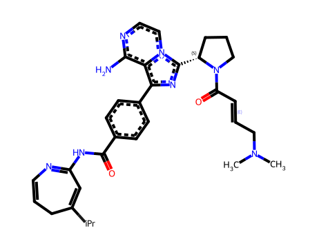 CC(C)C1=CC(NC(=O)c2ccc(-c3nc([C@@H]4CCCN4C(=O)/C=C/CN(C)C)n4ccnc(N)c34)cc2)=NC=CC1